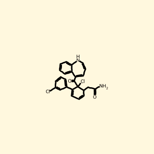 NC(=O)CC1C=CC=C(c2cccc(Cl)c2)C1(Cl)C(=O)C1=CC=CNc2ccccc21